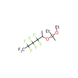 CCO[Si](C)(CC)OC(C)C(F)(F)C(F)(F)C(F)(F)C(F)(F)F